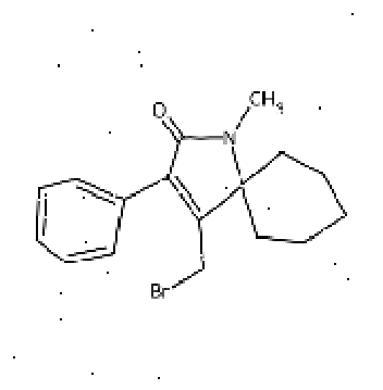 CN1C(=O)C(c2ccccc2)=C(CBr)C12CCCCC2